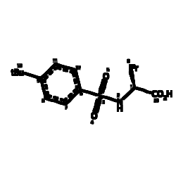 CC(C)[C@H](NS(=O)(=O)c1ccc(C(C)(C)C)cc1)C(=O)O